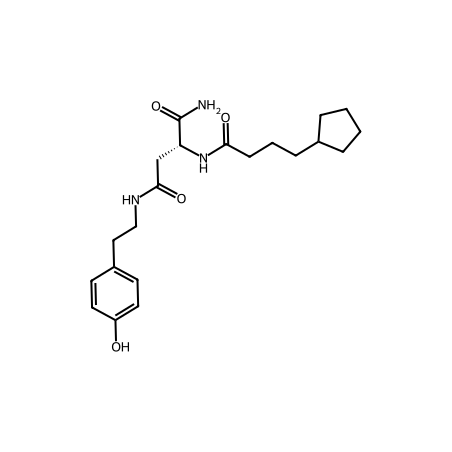 NC(=O)[C@@H](CC(=O)NCCc1ccc(O)cc1)NC(=O)CCCC1CCCC1